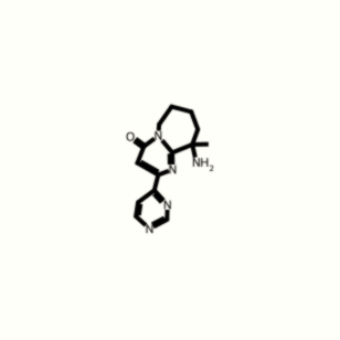 CC1(N)CCCCn2c1nc(-c1ccncn1)cc2=O